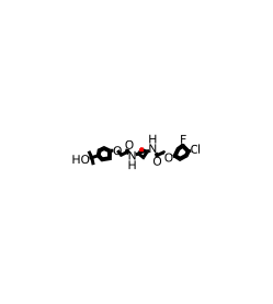 CC(C)(O)c1ccc(OCC(=O)NC23CC(NC(=O)COc4ccc(Cl)c(F)c4)(C2)C3)cc1